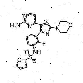 Nc1nccc(-c2sc(N3CCOCC3)nc2-c2cccc(NS(=O)(=O)c3ccco3)c2F)n1